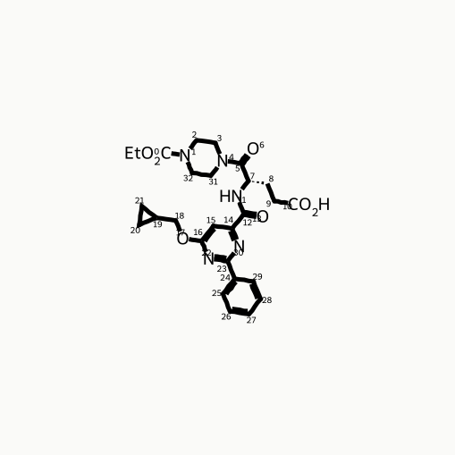 CCOC(=O)N1CCN(C(=O)[C@H](CCC(=O)O)NC(=O)c2cc(OCC3CC3)nc(-c3ccccc3)n2)CC1